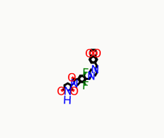 O=C1CCC(N2Cc3c(cc(F)c(CN4CCN(Cc5ccc6c(c5)OCCO6)CC4)c3F)C2=O)C(=O)N1